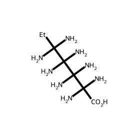 CCC(N)(N)C(N)(N)C(N)(N)C(N)(N)C(=O)O